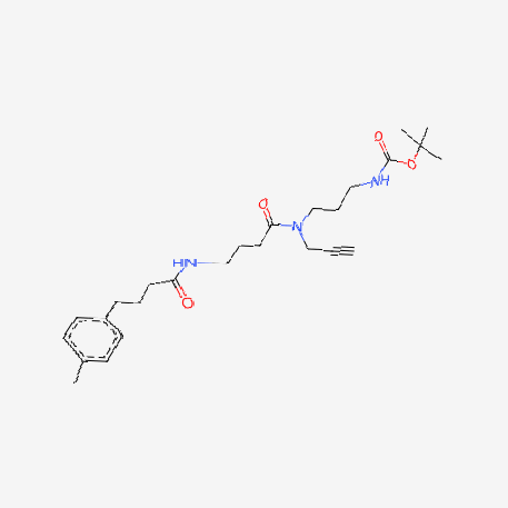 C#CCN(CCCNC(=O)OC(C)(C)C)C(=O)CCCNC(=O)CCCc1ccc(C)cc1